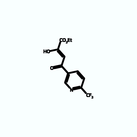 CCOC(=O)C(O)=CC(=O)c1ccc(C(F)(F)F)nc1